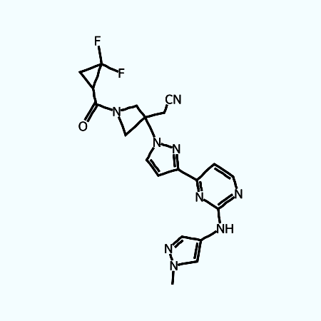 Cn1cc(Nc2nccc(-c3ccn(C4(CC#N)CN(C(=O)C5CC5(F)F)C4)n3)n2)cn1